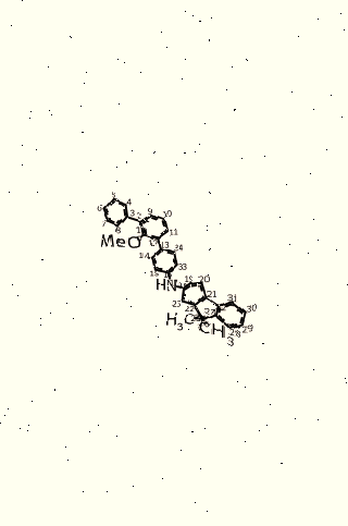 COc1c(-c2ccccc2)cccc1-c1ccc(Nc2ccc3c(c2)C(C)(C)c2ccccc2-3)cc1